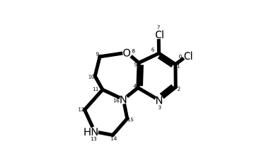 Clc1cnc2c(c1Cl)OCCC1CNCCN21